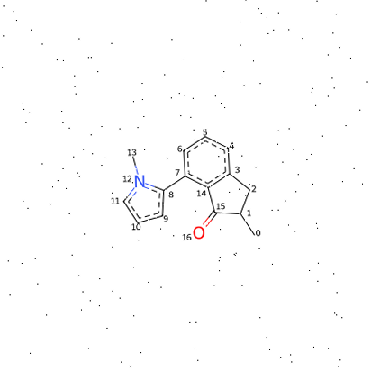 CC1Cc2cccc(-c3cccn3C)c2C1=O